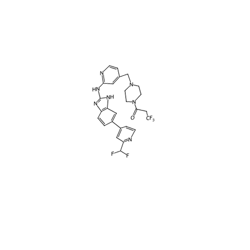 O=C(CC(F)(F)F)N1CCN(Cc2ccnc(Nc3nc4ccc(-c5ccnc(C(F)F)c5)cc4[nH]3)c2)CC1